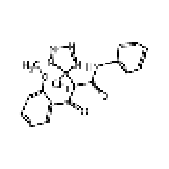 COc1ccccc1C(=O)C(C(=O)Nc1ccccc1)C1(C)N=NN=N1